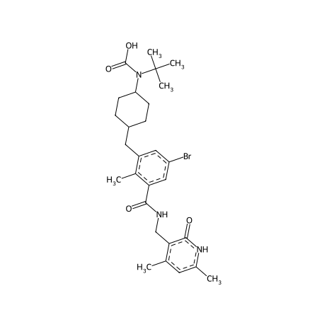 Cc1cc(C)c(CNC(=O)c2cc(Br)cc(CC3CCC(N(C(=O)O)C(C)(C)C)CC3)c2C)c(=O)[nH]1